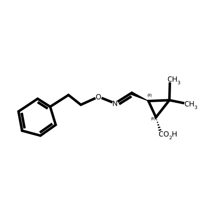 CC1(C)[C@H](C=NOCCc2ccccc2)[C@H]1C(=O)O